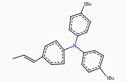 C/C=C/c1ccc(N(c2ccc(C(C)(C)C)cc2)c2ccc(C(C)(C)C)cc2)cc1